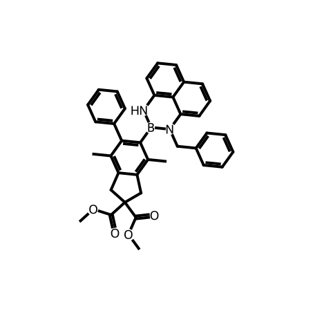 COC(=O)C1(C(=O)OC)Cc2c(C)c(B3Nc4cccc5cccc(c45)N3Cc3ccccc3)c(-c3ccccc3)c(C)c2C1